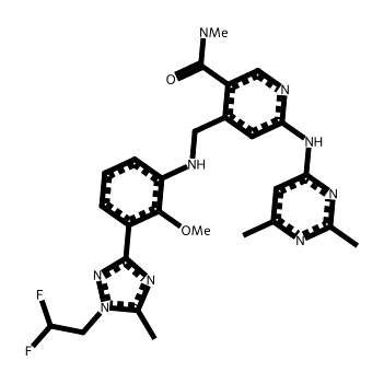 CNC(=O)c1cnc(Nc2cc(C)nc(C)n2)cc1CNc1cccc(-c2nc(C)n(CC(F)F)n2)c1OC